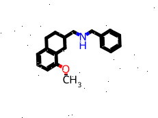 COc1cccc2c1CC(CNCc1ccccc1)CC2